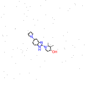 Cc1c(O)cc[n+](-c2nc3cc(-n4cccc4)ccc3[nH]2)c1C